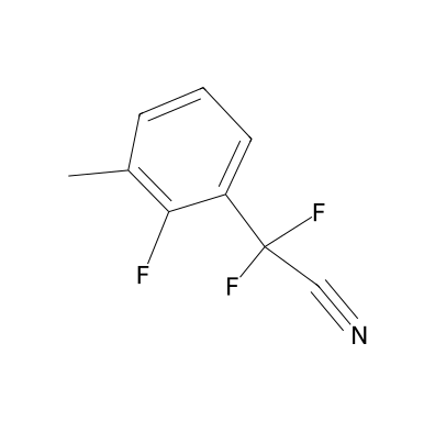 Cc1cccc(C(F)(F)C#N)c1F